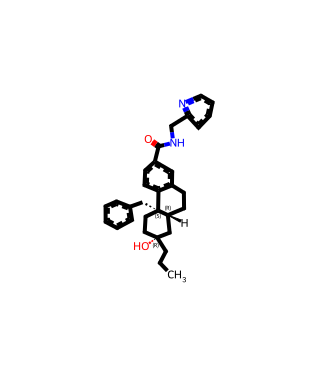 CCC[C@@]1(O)CC[C@@]2(Cc3ccccc3)c3ccc(C(=O)NCc4ccccn4)cc3CC[C@@H]2C1